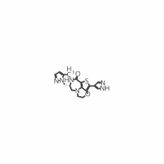 Cc1ccnn1C[C@H]1CN2CCOc3c(-c4cn[nH]c4)sc(c32)C(=O)N1